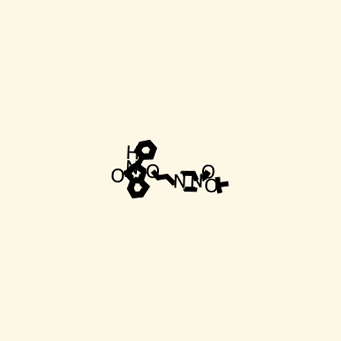 CC(C)(C)OC(=O)N1CCN(CCCOc2c(-c3ccccc3)[nH]c(=O)c3ccccc23)CC1